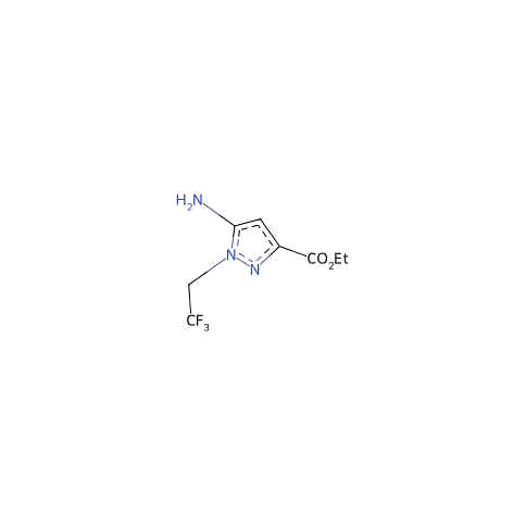 CCOC(=O)c1cc(N)n(CC(F)(F)F)n1